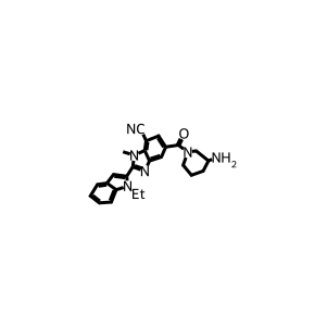 CCn1c(-c2nc3cc(C(=O)N4CCCC(N)C4)cc(C#N)c3n2C)cc2ccccc21